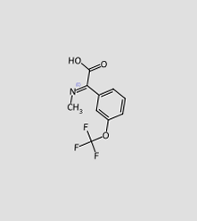 C/N=C(/C(=O)O)c1cccc(OC(F)(F)F)c1